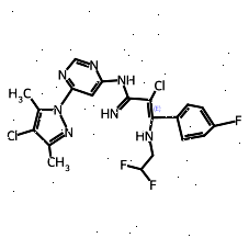 Cc1nn(-c2cc(NC(=N)/C(Cl)=C(\NCC(F)F)c3ccc(F)cc3)ncn2)c(C)c1Cl